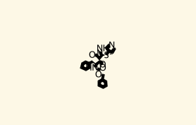 NN1C(=O)[C@@H](C(=O)[C@H](Cc2ccccc2)NC(=O)OCc2ccccc2)[C@@H]1Sc1ccncc1